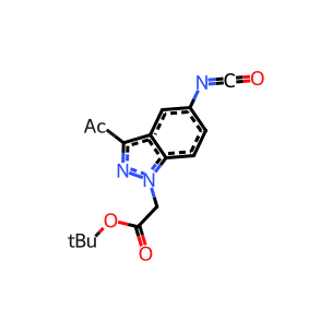 CC(=O)c1nn(CC(=O)OC(C)(C)C)c2ccc(N=C=O)cc12